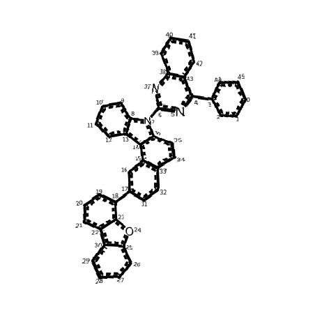 c1ccc(-c2nc(-n3c4ccccc4c4c5cc(-c6cccc7c6oc6ccccc67)ccc5ccc43)nc3ccccc23)cc1